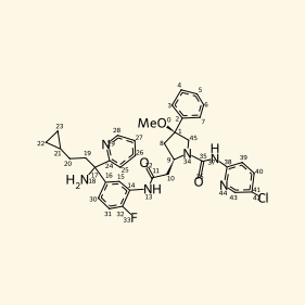 CO[C@]1(c2ccccc2)C[C@H](CC(=O)Nc2cc(C(N)(CCC3CC3)c3ccccn3)ccc2F)N(C(=O)Nc2ccc(Cl)cn2)C1